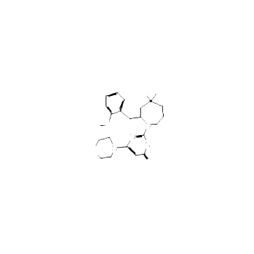 COc1ccccc1CC1CC(F)(F)CCCN1c1nc(N2CCOCC2)cc(=O)[nH]1